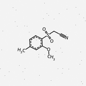 COc1cc(C)ccc1S(=O)(=O)CC#N